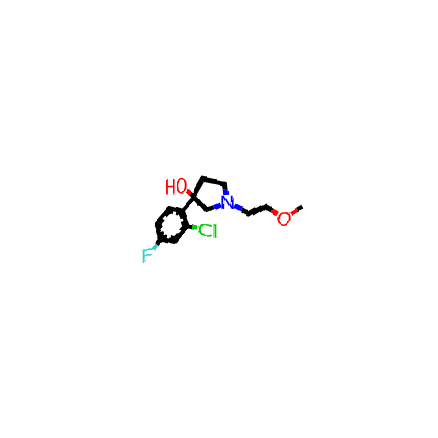 COCCN1CCC(O)(c2ccc(F)cc2Cl)C1